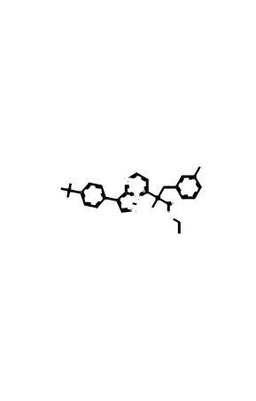 CCOC(=O)C(C)(Cc1cccc(C)c1)c1ccnc2c(-c3ccc(C(F)(F)F)cc3)cnn12